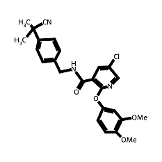 COc1ccc(Oc2ncc(Cl)cc2C(=O)NCc2ccc(C(C)(C)C#N)cc2)cc1OC